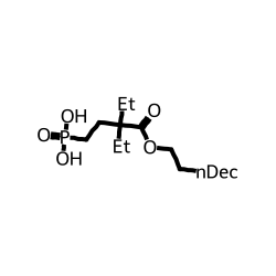 CCCCCCCCCCCCOC(=O)C(CC)(CC)CCP(=O)(O)O